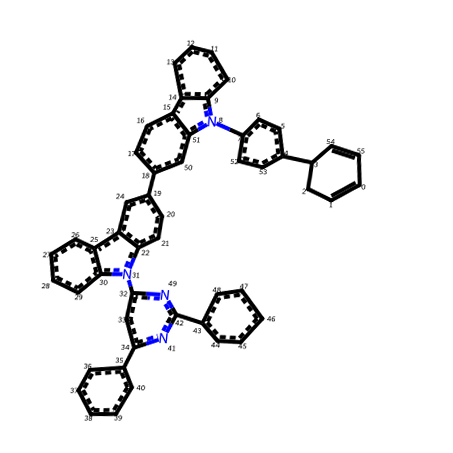 C1=CCC(c2ccc(-n3c4ccccc4c4ccc(-c5ccc6c(c5)c5ccccc5n6-c5cc(-c6ccccc6)nc(-c6ccccc6)n5)cc43)cc2)C=C1